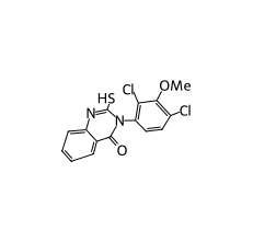 COc1c(Cl)ccc(-n2c(S)nc3ccccc3c2=O)c1Cl